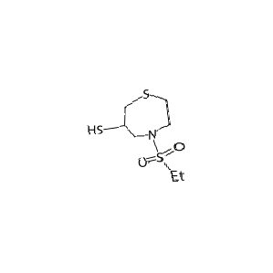 CCS(=O)(=O)N1CCSCC(S)C1